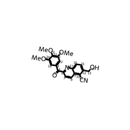 COc1cc(C(=O)c2ccc3c(C#N)c(CO)ccc3n2)cc(OC)c1OC